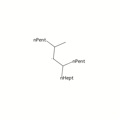 CCCCCCCC([CH]C(C)CCCCC)CCCCC